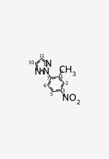 Cc1cc([N+](=O)[O-])ccc1-n1nccn1